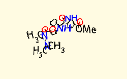 COC(=O)c1ccc2c(c1)NC(=O)C2=C(Nc1ccc(C(=O)N(C)CCN(C)C)o1)c1ccccc1